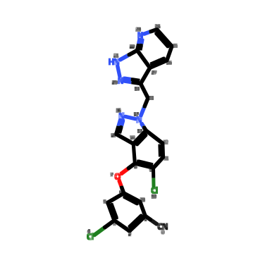 N#Cc1cc(Cl)cc(Oc2c(Cl)ccc3c2cnn3Cc2n[nH]c3ncccc23)c1